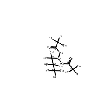 O=C(OI(OC(=O)C(F)(F)F)C(F)(F)C(F)(F)C(F)(F)F)C(F)(F)F